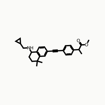 COC(=O)C(C)c1ccc(C#Cc2ccc3c(c2)C(C)(C)CCC3NCC2CC2)cc1